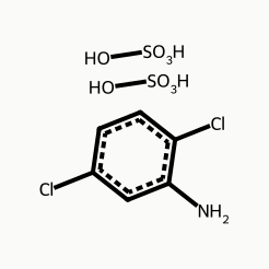 Nc1cc(Cl)ccc1Cl.O=S(=O)(O)O.O=S(=O)(O)O